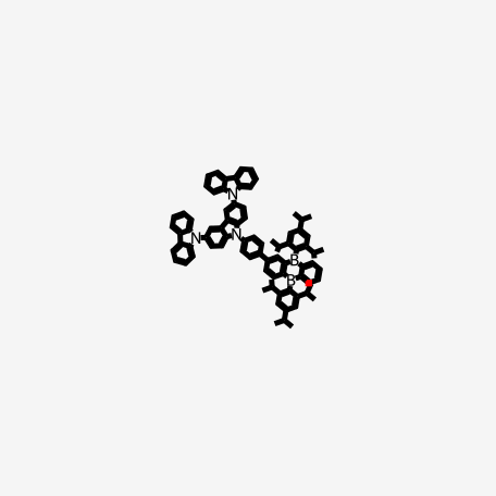 CC(C)c1cc(C(C)C)c(B2c3ccccc3B(c3c(C(C)C)cc(C(C)C)cc3C(C)C)c3cc(-c4ccc(-n5c6ccc(-n7c8ccccc8c8ccccc87)cc6c6cc(-n7c8ccccc8c8ccccc87)ccc65)cc4)ccc32)c(C(C)C)c1